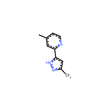 Cc1ccnc(-c2cc(C(F)(F)F)n[nH]2)c1